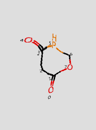 O=C1CC(=O)PCO1